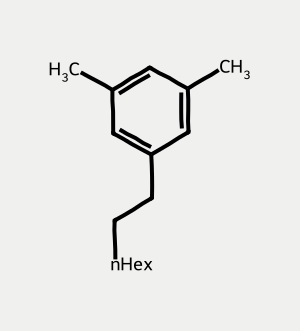 CCCCCCCCc1cc(C)cc(C)c1